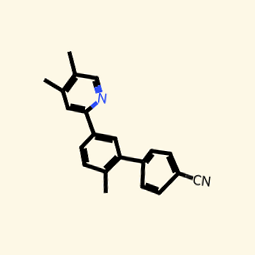 Cc1cnc(-c2ccc(C)c(-c3ccc(C#N)cc3)c2)cc1C